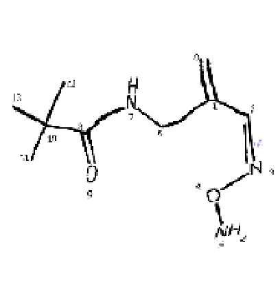 C=C(/C=N\ON)CNC(=O)C(C)(C)C